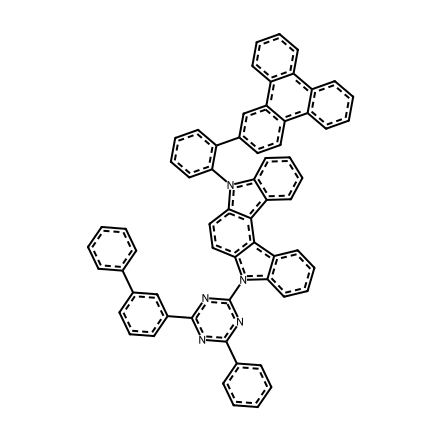 c1ccc(-c2cccc(-c3nc(-c4ccccc4)nc(-n4c5ccccc5c5c6c7ccccc7n(-c7ccccc7-c7ccc8c9ccccc9c9ccccc9c8c7)c6ccc54)n3)c2)cc1